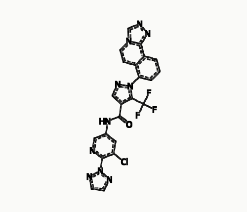 O=C(Nc1cnc(-n2nccn2)c(Cl)c1)c1cnn(-c2cccc3c2ccn2cnnc32)c1C(F)(F)F